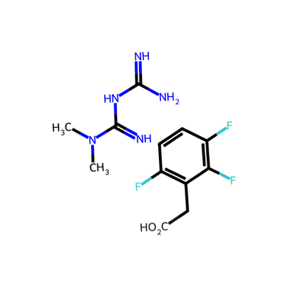 CN(C)C(=N)NC(=N)N.O=C(O)Cc1c(F)ccc(F)c1F